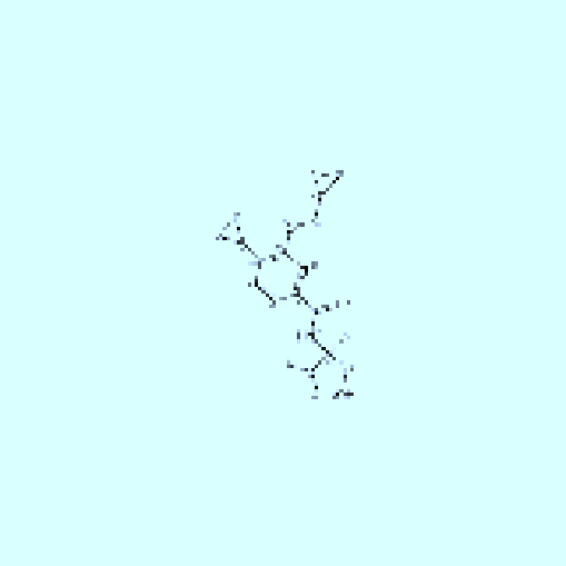 CC(C)C(C)(CO)NC(=O)c1ccc(C2CC2)c(OCC2CC2)n1